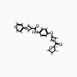 O=C(Nc1ccc(OC2CN(C(=O)C3CCCO3)C2)cc1)C1CN(c2ccnnc2)C1